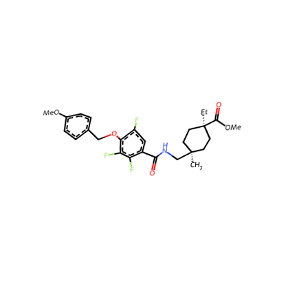 CC[C@]1(C(=O)OC)CC[C@@](C)(CNC(=O)c2cc(F)c(OCc3ccc(OC)cc3)c(F)c2F)CC1